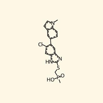 Cn1ccc2cc(-c3cc4nc(SCP(C)(=O)O)[nH]c4cc3Cl)ccc21